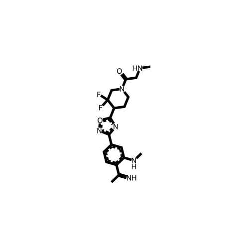 CNCC(=O)N1CCC(c2nc(-c3ccc(C(C)=N)c(NC)c3)no2)C(F)(F)C1